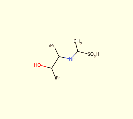 CC(C)C(O)C(NC(C)S(=O)(=O)O)C(C)C